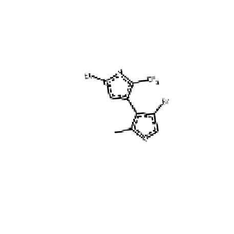 CCn1cc(-c2c(Br)csc2C)c(C(F)(F)F)n1